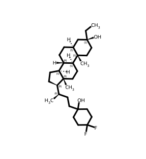 CC[C@]1(O)CC[C@@]2(C)[C@@H](CC[C@@H]3[C@@H]2CC[C@]2(C)[C@@H]([C@H](C)CCC4(O)CCC(F)(F)CC4)CC[C@@H]32)C1